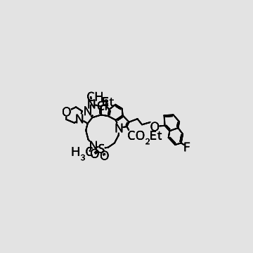 CCOC(=O)c1c(CCCOc2cccc3cc(F)ccc23)c2ccc(Cl)c3c2n1CCCS(=O)(=O)N(C)CCC(N1CCOCC1)c1nn(C)c(CC)c1-3